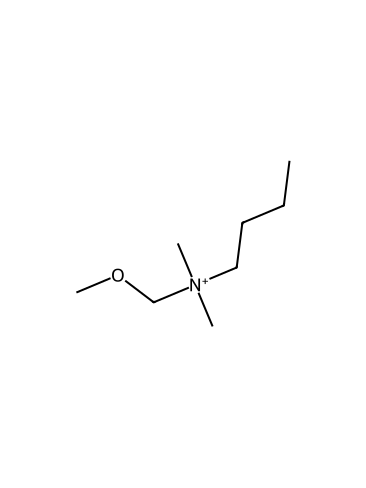 CCCC[N+](C)(C)COC